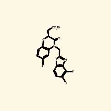 CCOC(=O)CC1Oc2ccc(F)cc2N(Cc2nc3c(F)c(F)ccc3s2)C1=O